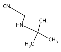 [C-]#[N+]CNC(C)(C)C